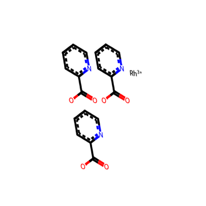 O=C([O-])c1ccccn1.O=C([O-])c1ccccn1.O=C([O-])c1ccccn1.[Rh+3]